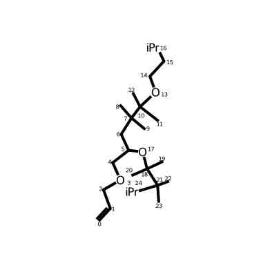 C=CCOCC(CC(C)(C)C(C)(C)OCCC(C)C)OC(C)(C)C(C)(C)C(C)C